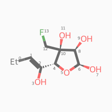 CCC=C(O)[C@H]1O[C@H](O)[C@H](O)[C@@]1(O)CF